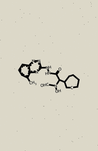 Cc1cccc2nnc(NNC(=O)C(C3CCCCCC3)N(O)C=O)nc12